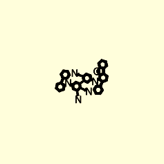 N#Cc1ccc(-n2c3ccccc3c3ccc4c5ccccc5oc4c32)cc1-c1cc(-n2c3ccccc3c3ccccc32)cc(C#N)c1C#N